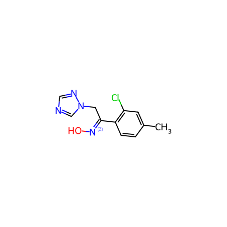 Cc1ccc(/C(Cn2cncn2)=N/O)c(Cl)c1